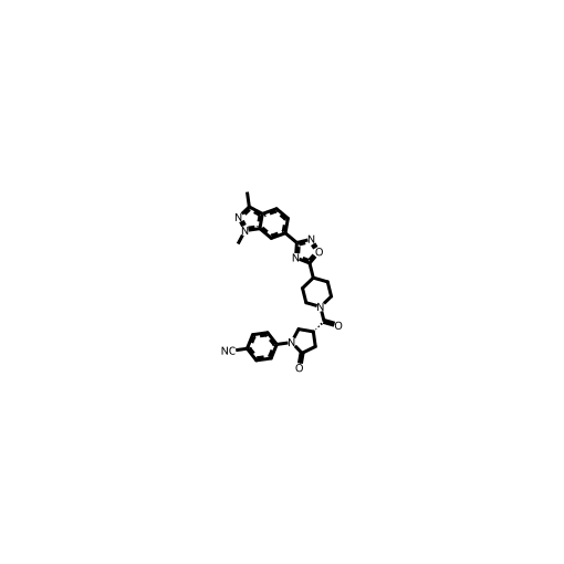 Cc1nn(C)c2cc(-c3noc(C4CCN(C(=O)[C@@H]5CC(=O)N(c6ccc(C#N)cc6)C5)CC4)n3)ccc12